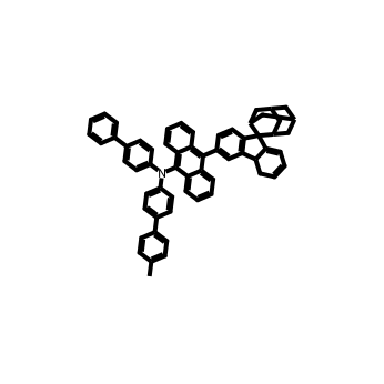 Cc1ccc(-c2ccc(N(c3ccc(-c4ccccc4)cc3)c3c4ccccc4c(-c4ccc5c(c4)C4CC=CC=C4C54C5CC6CC(C5)CC4C6)c4ccccc34)cc2)cc1